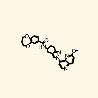 COc1ccc2nccc(-n3cc4c(n3)CCC(NC(=O)c3ccc5c(c3)OCCCO5)C4)c2n1